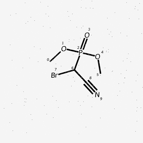 COP(=O)(OC)C(Br)C#N